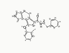 Cc1ncccc1Oc1sc(C(=O)NOCc2ccccc2)c2c1-c1sncc1CC2